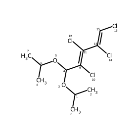 CC(C)OC(OC(C)C)/C(Cl)=C(Cl)/C(Cl)=C/Cl